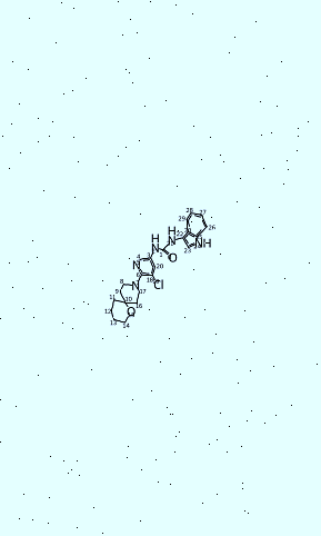 O=C(Nc1cnc(N2CCC3(CCCCO3)CC2)c(Cl)c1)Nc1c[nH]c2ccccc12